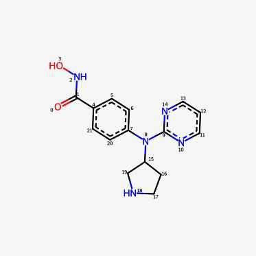 O=C(NO)c1ccc(N(c2ncccn2)C2CCNC2)cc1